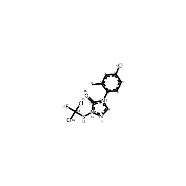 Cc1cc(Cl)ccc1-n1cnn(SC(F)(Cl)Cl)c1=O